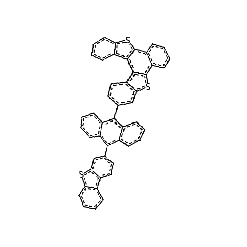 c1ccc2c(c1)sc1cc(-c3c4ccccc4c(-c4ccc5c(c4)sc4c6ccccc6c6sc7ccccc7c6c54)c4ccccc34)ccc12